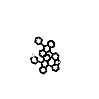 C1=CC(c2c3ccccc3c(-c3cccc4sc5ccc(-c6c7ccccc7c(-c7ccccc7)c7ccccc67)cc5c34)c3ccccc23)=CNC1